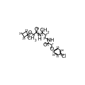 C=C(CCNC(=O)COc1ccc(Cl)cc1)NC(=O)COC1(C)CCC1